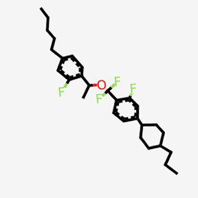 CCCCCc1ccc(C(C)OC(F)(F)c2ccc(C3CCC(CCC)CC3)cc2F)c(F)c1